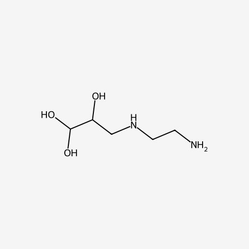 NCCNCC(O)C(O)O